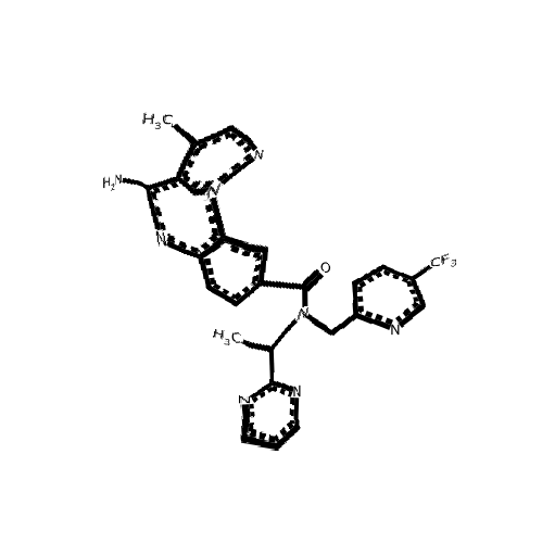 Cc1cnn2c1c(N)nc1ccc(C(=O)N(Cc3ccc(C(F)(F)F)cn3)C(C)c3ncccn3)cc12